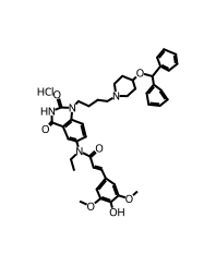 CCN(C(=O)C=Cc1cc(OC)c(O)c(OC)c1)c1ccc2c(c1)c(=O)[nH]c(=O)n2CCCCN1CCC(OC(c2ccccc2)c2ccccc2)CC1.Cl